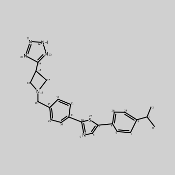 CC(C)c1ccc(-c2cnc(-c3ccc(CN4CC(c5nn[nH]n5)C4)cc3)s2)cc1